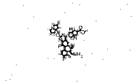 COC(=O)C1C[C@@H]2CN(c3nc(OC[C@@]45CCCN4C[C@H](F)C5)nc4c(F)c(-c5ccc(F)c6sc(N)c(C#N)c56)c(Cl)cc34)C[C@@H]2C1